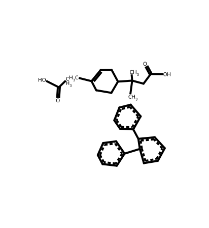 CC(=O)O.CC1=CCC(C(C)(C)CC(=O)O)CC1.c1ccc(-c2ccccc2-c2ccccc2)cc1